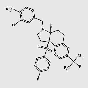 O=C(O)c1ccc(CN2CC[C@@]3(S(=O)(=O)c4ccc(F)cc4)c4ccc(C(F)(C(F)(F)F)C(F)(F)F)cc4CC[C@@H]23)cc1Cl